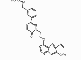 C=Cc1cc2c(OCCn3nc(-c4cccc(CNC(=O)O)c4)ccc3=O)ccnc2cc1OC